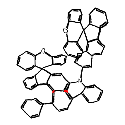 c1ccc(-c2ccc(-c3ccccc3N(c3ccc4c(c3)C3(c5ccccc5Oc5ccccc53)c3ccccc3-4)c3ccc4c5c(ccc4c3)-c3ccccc3C53c4ccccc4Oc4ccccc43)cc2)cc1